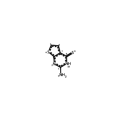 Nc1nc2sccc2c(=S)[nH]1